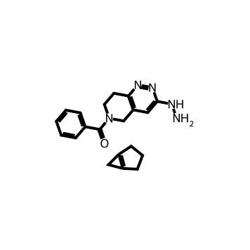 C1CC2=C(C1)C2.NNc1cc2c(nn1)CCN(C(=O)c1ccccc1)C2